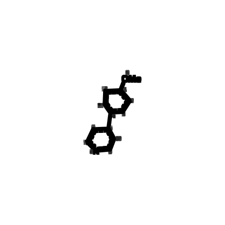 COc1ccc(-c2c[c]ncc2)cc1